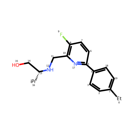 CCc1ccc(-c2ccc(F)c(CN[C@@H](CO)C(C)C)n2)cc1